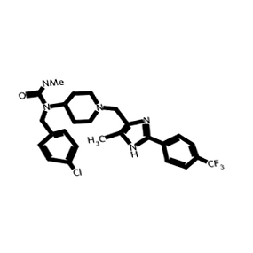 CNC(=O)N(Cc1ccc(Cl)cc1)C1CCN(Cc2nc(-c3ccc(C(F)(F)F)cc3)[nH]c2C)CC1